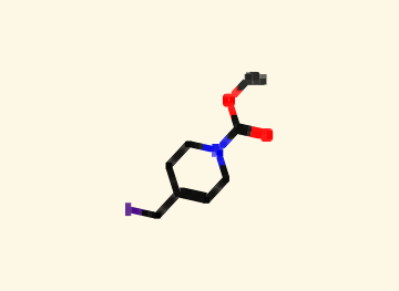 CC(C)(C)OC(=O)N1CC=C(CI)CC1